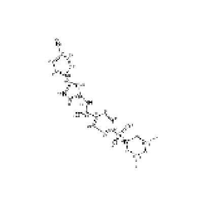 C[C@@H]1C[C@H](C)CN(S(=O)(=O)c2ccc(C(=O)Nc3nnc(-c4ccc(Br)cc4)o3)cc2)C1